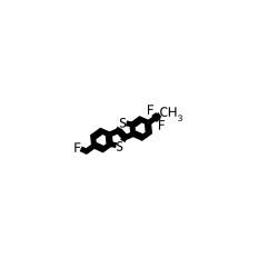 CC(F)(F)c1ccc2c(c1)sc1c3ccc(CF)cc3sc21